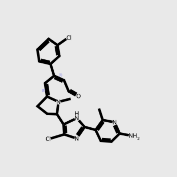 Cc1nc(N)ccc1-c1nc(Cl)c(C2CC/C(=C/C(=C\C=O)c3cccc(Cl)c3)N2C)[nH]1